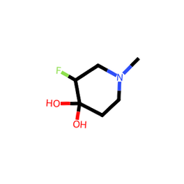 CN1CCC(O)(O)C(F)C1